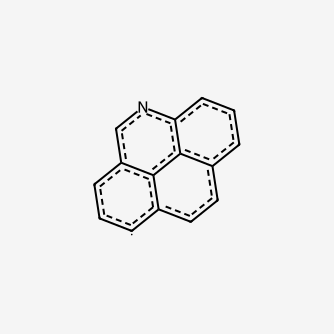 [c]1ccc2cnc3cccc4ccc1c2c43